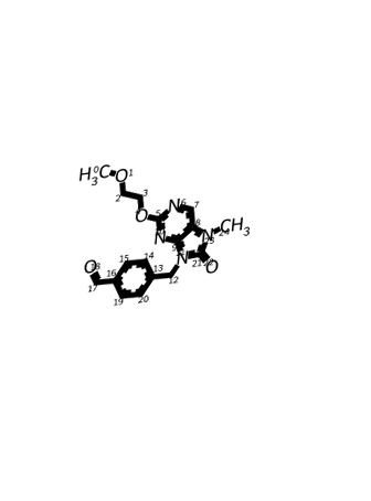 COCCOc1ncc2c(n1)n(Cc1ccc(C=O)cc1)c(=O)n2C